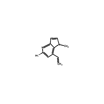 C=Cc1cc(C#N)nc2ccn(C)c12